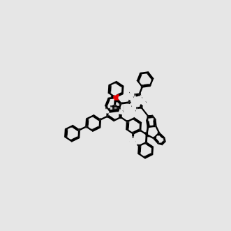 c1ccc(-c2ccc(-c3cc(-c4ccc5c(c4)Oc4ccccc4C54c5ccccc5-c5ccc(-c6nc(-c7ccccc7)nc(-c7ccccc7)n6)cc54)nc(-c4ccccc4)n3)cc2)cc1